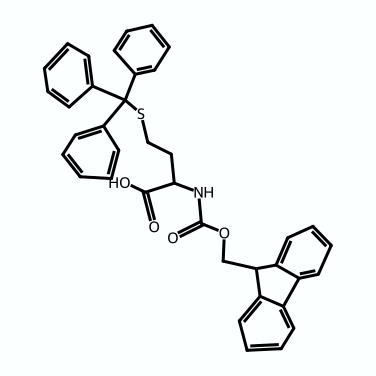 O=C(NC(CCSC(c1ccccc1)(c1ccccc1)c1ccccc1)C(=O)O)OCC1c2ccccc2-c2ccccc21